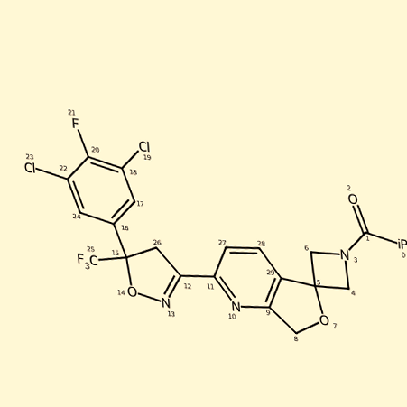 CC(C)C(=O)N1CC2(C1)OCc1nc(C3=NOC(c4cc(Cl)c(F)c(Cl)c4)(C(F)(F)F)C3)ccc12